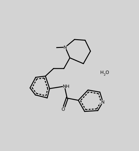 CN1CCCCC1CCc1ccccc1NC(=O)c1ccncc1.O